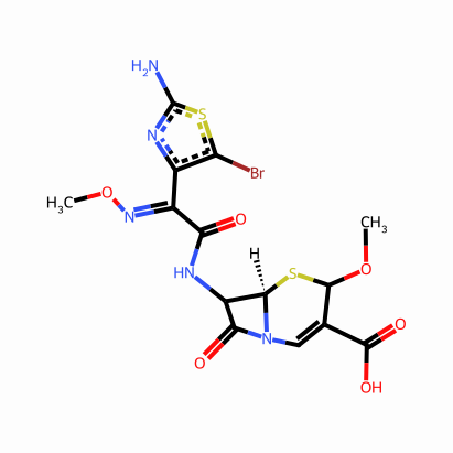 CON=C(C(=O)NC1C(=O)N2C=C(C(=O)O)C(OC)S[C@H]12)c1nc(N)sc1Br